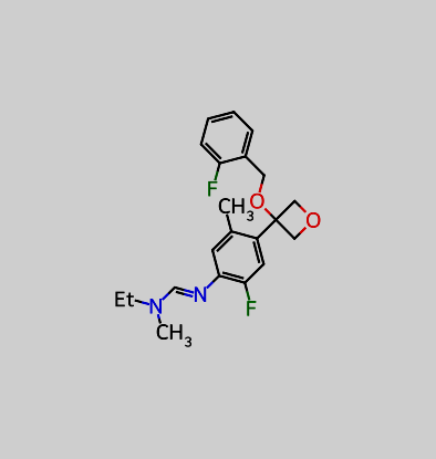 CCN(C)C=Nc1cc(C)c(C2(OCc3ccccc3F)COC2)cc1F